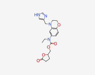 CCN(C(=O)OCC1CCC(=O)O1)c1ccc2c(c1)N(Cc1c[nH]cn1)CCO2